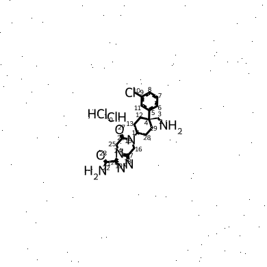 Cl.Cl.NC[C@]1(c2cccc(Cl)c2)CC[C@H](N2Cc3nnc(C(N)=O)n3CC2=O)CC1